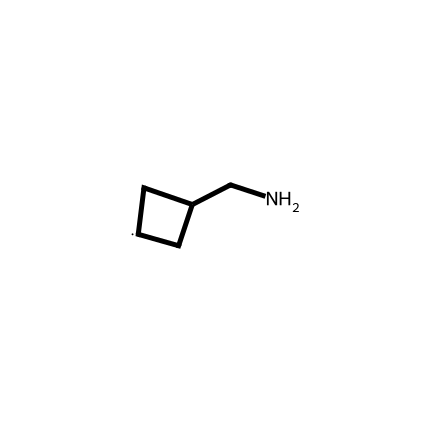 NCC1C[CH]C1